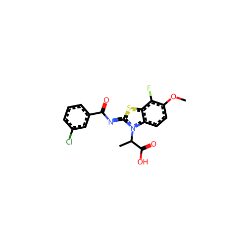 COc1ccc2c(sc(=NC(=O)c3cccc(Cl)c3)n2C(C)C(=O)O)c1F